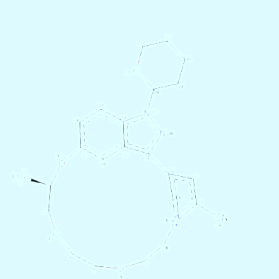 C[C@@H]1COCCOCCn2cc(cc2C#N)-c2nn(C3CCCCO3)c3ccc(cc23)O1